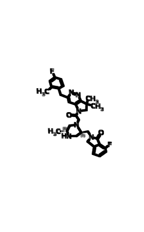 Cc1cc(F)ccc1Cc1cc2c(nn1)C(C)(C)CN2C(=O)CN1C[C@@H](C)NC[C@@H]1CN1Cc2cccc(F)c2C1=O